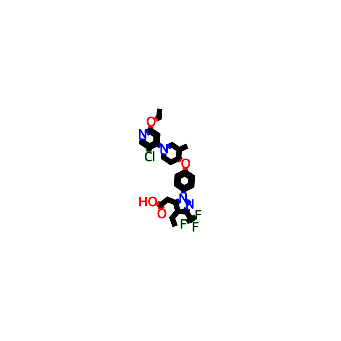 CCOc1cc(N2CCC(Oc3ccc(N4N=C(C(F)(F)F)C(CC)C4CC(=O)O)cc3)C(C)C2)c(Cl)cn1